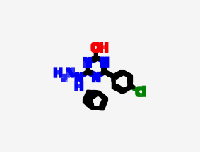 C1=CC2=CC=C1C2.NNc1nc(O)nc(-c2ccc(Cl)cc2)n1